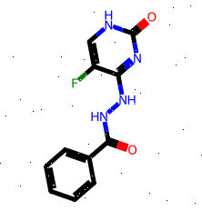 O=C(NNc1nc(=O)[nH]cc1F)c1ccccc1